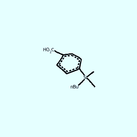 CCCC[Si](C)(C)c1ccc(C(=O)O)cc1